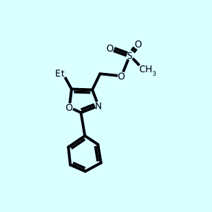 CCc1oc(-c2ccccc2)nc1COS(C)(=O)=O